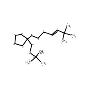 CC(C)(C)/C=C/CCCC1(COC(C)(C)C)CCCC1